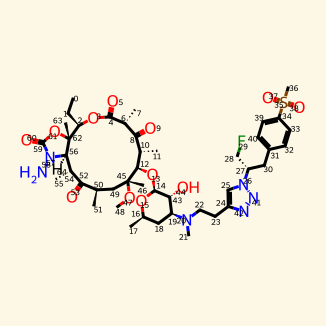 CC[C@H]1OC(=O)[C@H](C)C(=O)[C@H](C)[C@@H](O[C@@H]2O[C@H](C)C[C@H](N(C)CCc3cn([C@H](CF)Cc4ccc(S(C)(=O)=O)cc4)nn3)[C@H]2O)[C@](C)(OC)C[C@@H](C)C(=O)[C@H](C)[C@H]2N(N)C(=O)O[C@]12C